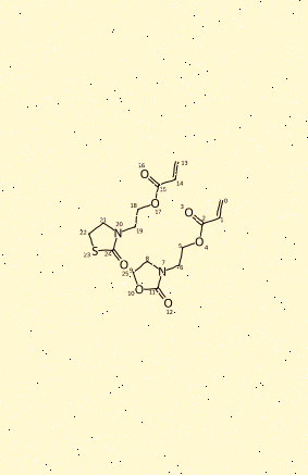 C=CC(=O)OCCN1CCOC1=O.C=CC(=O)OCCN1CCSC1=O